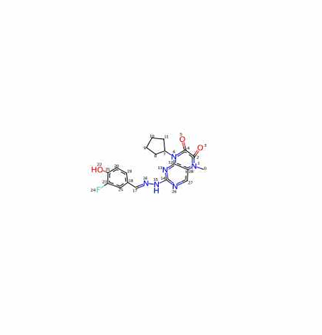 Cn1c(=O)c(=O)n(C2CCCC2)c2nc(NN=Cc3ccc(O)c(F)c3)ncc21